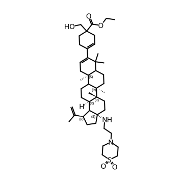 C=C(C)[C@@H]1CC[C@]2(NCCN3CCS(=O)(=O)CC3)CC[C@]3(C)[C@H](CCC4[C@@]5(C)CC=C(C6=CCC(CO)(C(=O)OCC)CC6)C(C)(C)C5CC[C@]43C)C12